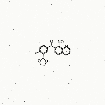 O=Nc1c(C(=O)c2ccc(F)c(C3OCCO3)c2)ccc2cccnc12